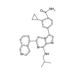 CC(C)CNc1nc(-c2cccc3cnccc23)cn2c(-c3ccc(C(N)=O)c(C4CC4)c3)cnc12